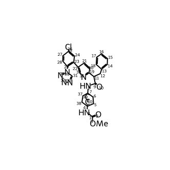 COC(=O)NC12CCC(NC(=O)C(Cc3ccccc3)c3ccc(-c4cc(Cl)ccc4-n4cnnn4)cn3)(CC1)CC2